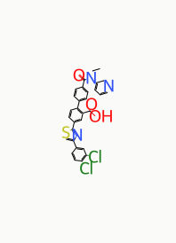 CCN(C(=O)c1ccc(-c2ccc(-c3nc(-c4ccc(Cl)c(Cl)c4)cs3)cc2C(=O)O)cc1)c1cccnc1